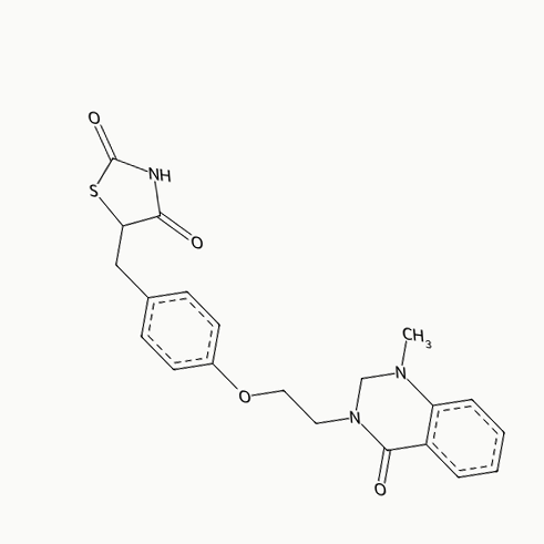 CN1CN(CCOc2ccc(CC3SC(=O)NC3=O)cc2)C(=O)c2ccccc21